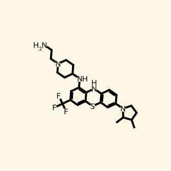 CC1CCN(c2ccc3c(c2)Sc2cc(C(F)(F)F)cc(NC4CCN(CCN)CC4)c2N3)C1C